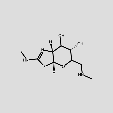 CNCC1O[C@@H]2SC(NC)=N[C@@H]2C(O)[C@@H]1O